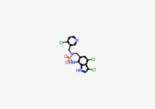 O=S1(=O)Nc2c(cc(Cl)c3c(Cl)c[nH]c23)CN1Cc1cnccc1Cl